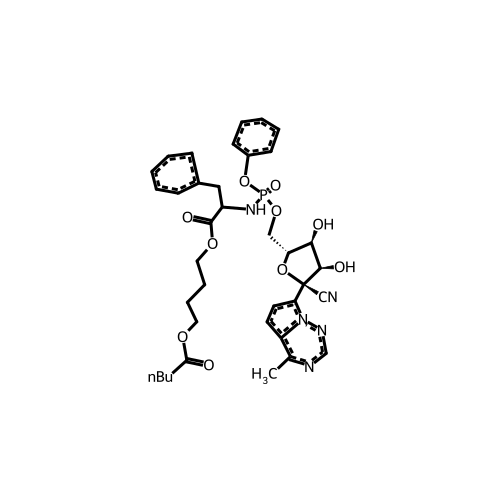 CCCCC(=O)OCCCCOC(=O)C(Cc1ccccc1)NP(=O)(OC[C@H]1O[C@@](C#N)(c2ccc3c(C)ncnn23)[C@H](O)[C@@H]1O)Oc1ccccc1